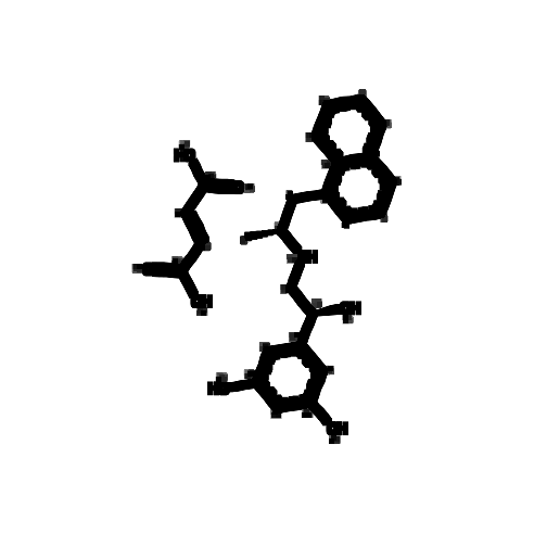 C[C@H](Cc1cccc2ccccc12)NC[C@@H](O)c1cc(O)cc(O)c1.O=C(O)C=CC(=O)O